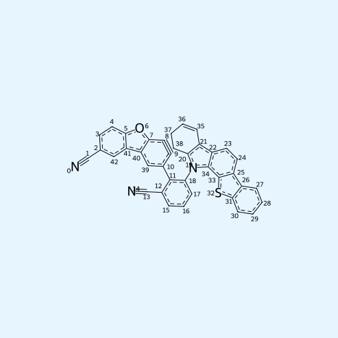 N#Cc1ccc2oc3c#cc(-c4c(C#N)cccc4-n4c5c(c6ccc7c8ccccc8sc7c64)C=CCC5)cc3c2c1